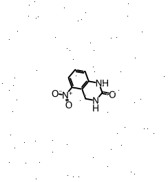 O=C1NCc2c(cccc2[N+](=O)[O-])N1